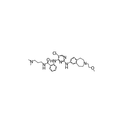 COCCN1CCc2ccc(Nc3ncc(Cl)c(Nc4ccccc4C(=O)NCCCN(C)C)n3)cc2CC1